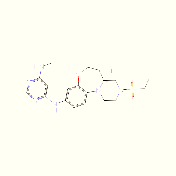 CCS(=O)(=O)N1CCN2c3ccc(Nc4cc(NC)ncn4)cc3OCC[C@H]2C1